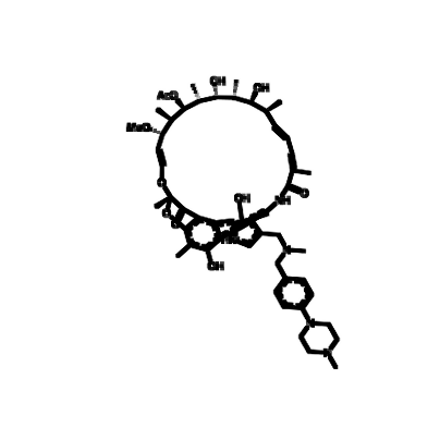 CO[C@H]1/C=C/O[C@@]2(C)Oc3c(C)c(O)c4c(O)c(c5c(CN(C)Cc6ccc(N7CCN(C)CC7)cc6)c[nH]c5c4c3C2=O)NC(=O)/C(C)=C\C=C\[C@H](C)[C@H](O)[C@@H](C)[C@@H](O)[C@@H](C)[C@H](OC(C)=O)[C@@H]1C